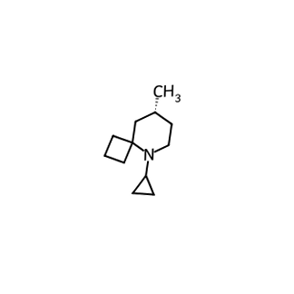 C[C@@H]1CCN(C2CC2)C2(CCC2)C1